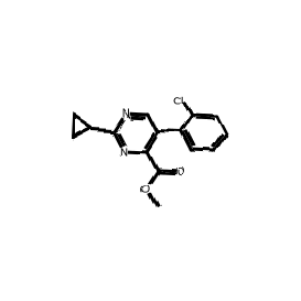 COC(=O)c1nc(C2CC2)ncc1-c1ccccc1Cl